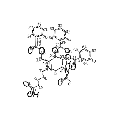 CC(=O)NC1CN(CCCCC(=O)O)C(COC(=O)c2ccccc2)C(OC(=O)c2ccccc2)C1OC(=O)c1ccccc1